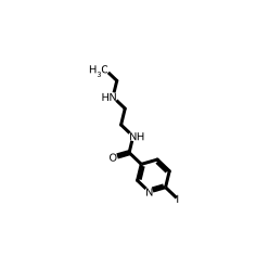 CCNCCNC(=O)c1ccc(I)nc1